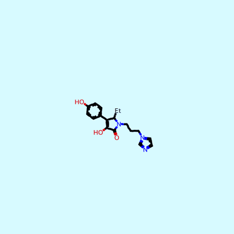 CCC1C(c2ccc(O)cc2)=C(O)C(=O)N1CCCn1ccnc1